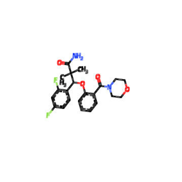 CC(C)(C(N)=O)C(Oc1ccccc1C(=O)N1CCOCC1)c1ccc(F)cc1F